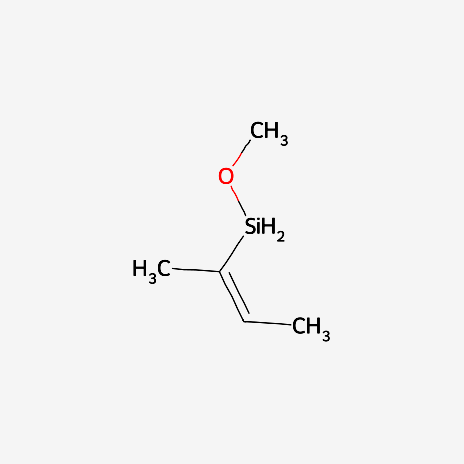 CC=C(C)[SiH2]OC